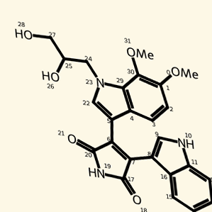 COc1ccc2c(C3=C(c4c[nH]c5ccccc45)C(=O)NC3=O)cn(CC(O)CO)c2c1OC